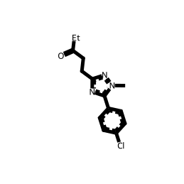 CCC(=O)CCc1nc(-c2ccc(Cl)cc2)n(C)n1